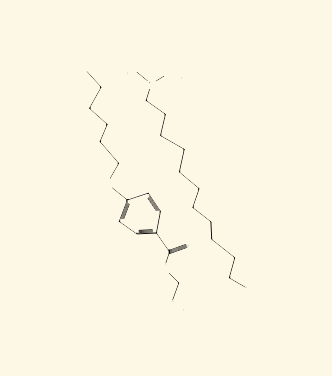 CCCCCCCCCCCCN(C)C.CCCCCCOc1ccc(C(=O)OCC)cc1